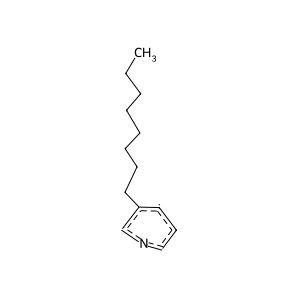 CCCCCCCCc1[c]ccnc1